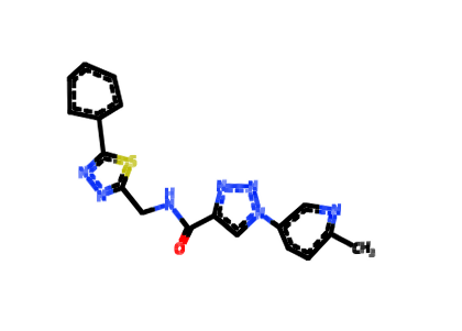 Cc1ccc(-n2cc(C(=O)NCc3nnc(-c4ccccc4)s3)nn2)cn1